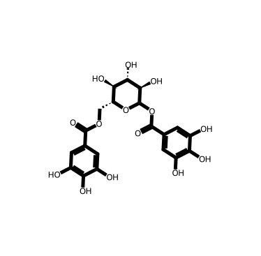 O=C(OC[C@H]1OC(OC(=O)c2cc(O)c(O)c(O)c2)[C@H](O)[C@@H](O)[C@@H]1O)c1cc(O)c(O)c(O)c1